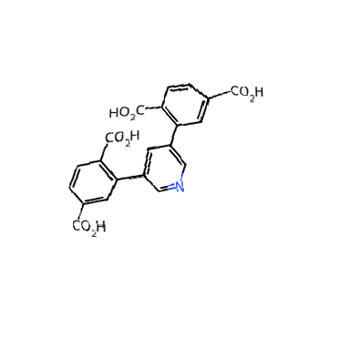 O=C(O)c1ccc(C(=O)O)c(-c2cncc(-c3cc(C(=O)O)ccc3C(=O)O)c2)c1